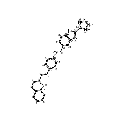 C(=Cc1ccc2ccccc2n1)c1ccc(OCc2ccc3oc(-c4nnn[nH]4)nc3c2)cc1